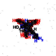 CSC[C@@H](NC(=O)[C@H](CCC(=O)NC[C@H](O)[C@@H](O)[C@H](O)[C@H](O)CO)NC(=O)[C@@H](CCC(=O)O)NC(=O)[C@H](CCC(=O)NC[C@H](O)[C@@H](O)[C@H](O)[C@H](O)CO)NC(=O)[C@@H](CCC(=O)O)NC(=O)[C@H](CCC(=O)NC[C@H](O)[C@@H](O)[C@H](O)[C@H](O)CO)NC(=O)CC[C@@H](NC(=O)c1ccc(NCc2cnc3cc(N)[nH]c(=O)c3n2)cc1)C(=O)O)C(=O)O